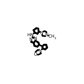 CN1CCN(c2cccc(Nc3ncc4ccc(-c5ccccc5N5CCOCC5)cc4n3)c2)CC1